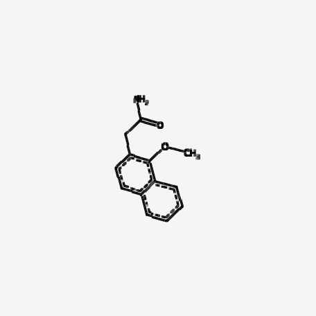 COc1c(CC(N)=O)ccc2ccccc12